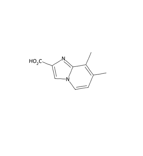 Cc1ccn2cc(C(=O)O)nc2c1C